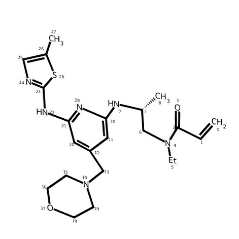 C=CC(=O)N(CC)C[C@@H](C)Nc1cc(CN2CCOCC2)cc(Nc2ncc(C)s2)n1